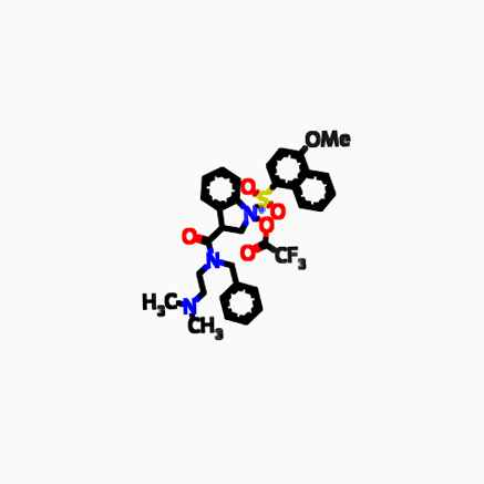 COc1ccc(S(=O)(=O)[N+]2(OC(=O)C(F)(F)F)CC(C(=O)N(CCN(C)C)Cc3ccccc3)c3ccccc32)c2ccccc12